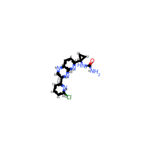 NC(=O)NC1(c2ccc3ncc(-c4cccc(Cl)n4)nc3n2)CC1